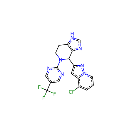 FC(F)(F)c1cnc(N2CCc3[nH]cnc3C2c2cc3c(Cl)cccn3n2)nc1